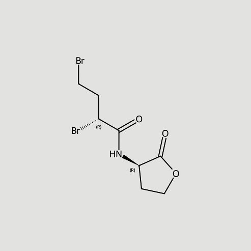 O=C(N[C@@H]1CCOC1=O)[C@H](Br)CCBr